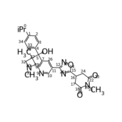 CC(C)c1ccc(C(O)(c2cncc(-c3noc(C4CC(=O)N(C)C(=O)C4)n3)c2)C2(C)CN(C)C2)cc1